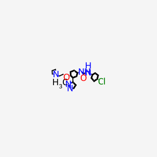 Cn1nccc1-c1cc(NC(=O)Nc2ccc(Cl)cc2)ccc1OCCN1CCC1